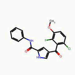 COc1ccc(Cl)c(C(=O)c2c[nH]c(C(=O)Nc3ccccc3)c2)c1F